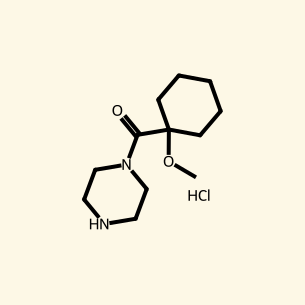 COC1(C(=O)N2CCNCC2)CCCCC1.Cl